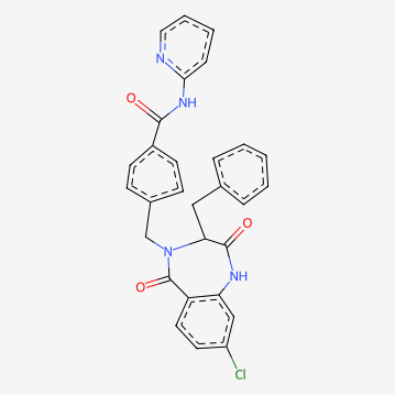 O=C(Nc1ccccn1)c1ccc(CN2C(=O)c3ccc(Cl)cc3NC(=O)C2Cc2ccccc2)cc1